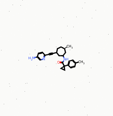 Cc1ccc(C2(C(=O)NC3CC(C#Cc4ccc(N)cn4)CC[C@@H](C)C3)CC2)cc1